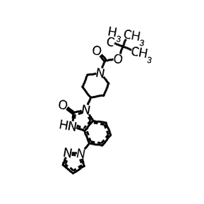 CC(C)(C)OC(=O)N1CCC(n2c(=O)[nH]c3c(-n4cccn4)cccc32)CC1